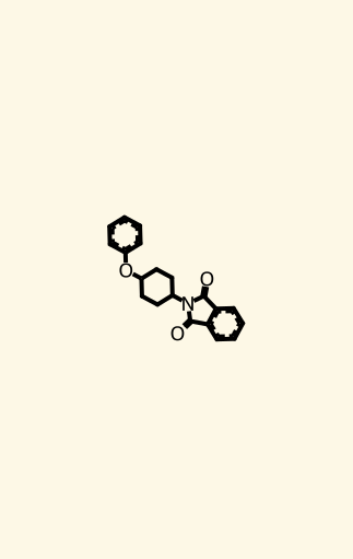 O=C1c2ccccc2C(=O)N1C1CCC(Oc2ccccc2)CC1